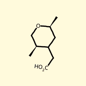 C[C@H]1CC(CC(=O)O)[C@@H](C)CO1